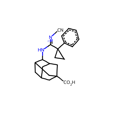 N#C/N=C(/NC1C2CC3CC1CC(C(=O)O)(C3)C2)C1(c2ccccc2)CC1